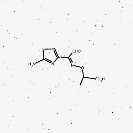 CC(O/N=C(\[C]=O)c1csc(N)n1)C(=O)O